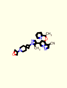 Cc1c(-c2cc(O[C@H](C)c3ccccn3)c3c(C#N)cnn3c2)cnn1C1CC2(CCN(C3COC3)CC2)C1